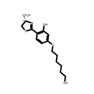 O=C(O)[C@H]1CSC(c2ccc(OCCCCCCO)cc2O)=N1